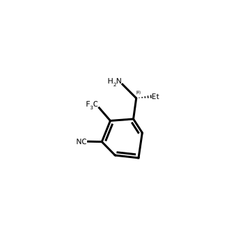 CC[C@@H](N)c1cccc(C#N)c1C(F)(F)F